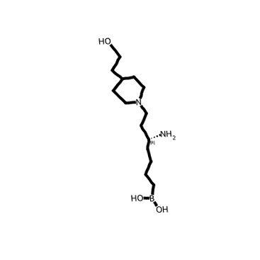 N[C@H](CCCCB(O)O)CCN1CCC(CCO)CC1